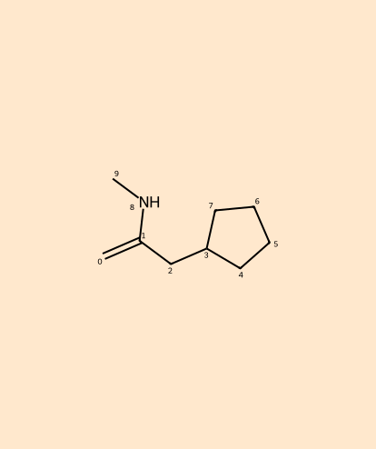 C=C(CC1CCCC1)NC